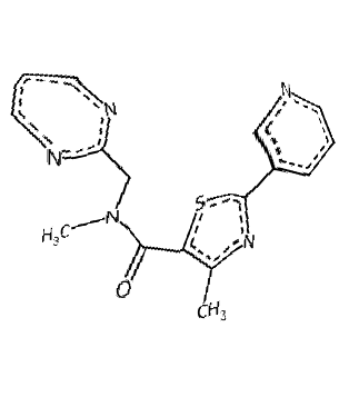 Cc1nc(-c2cccnc2)sc1C(=O)N(C)Cc1ncccn1